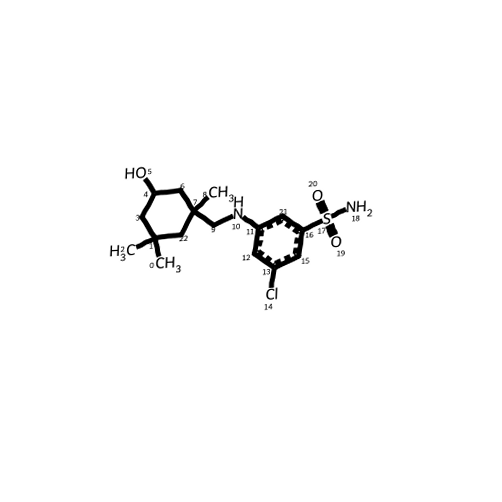 CC1(C)CC(O)CC(C)(CNc2cc(Cl)cc(S(N)(=O)=O)c2)C1